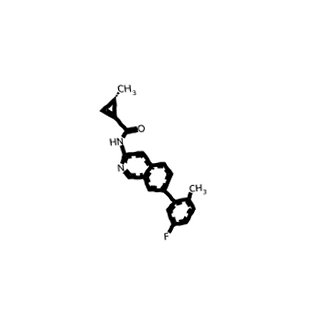 Cc1ccc(F)cc1-c1ccc2cc(NC(=O)C3=C[C@@H]3C)ncc2c1